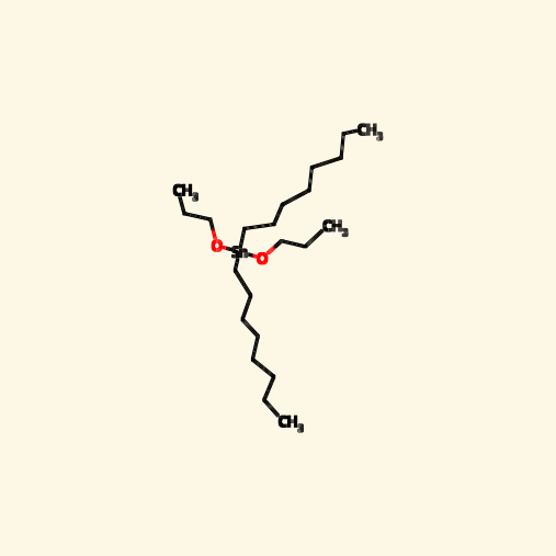 CCCCCCC[CH2][Sn]([CH2]CCCCCCC)([O]CCC)[O]CCC